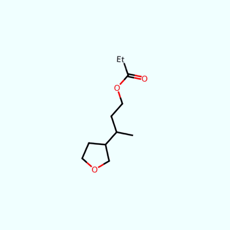 CCC(=O)OCCC(C)C1CCOC1